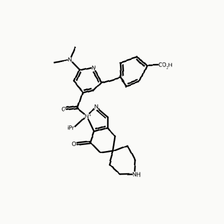 CC(C)[N+]1(C(=O)c2cc(-c3ccc(C(=O)O)cc3)nc(N(C)C)c2)N=CC2=C1C(=O)CC1(CCNCC1)C2